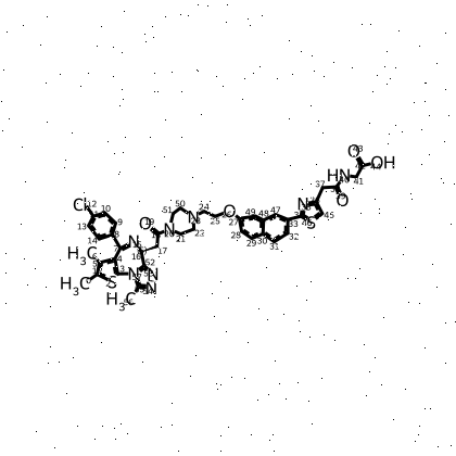 Cc1sc2c(c1C)C(c1ccc(Cl)cc1)=N[C@@H](CC(=O)N1CCN(CCOc3ccc4ccc(-c5nc(CC(=O)NCC(=O)O)cs5)cc4c3)CC1)c1nnc(C)n1-2